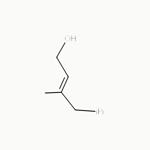 CC(=CCO)CC(C)C